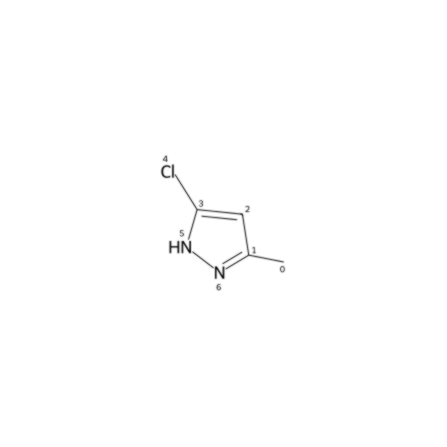 Cc1cc(Cl)[nH]n1